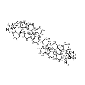 CC1(C)c2ccccc2N(c2ccc3c(c2)[Si](c2ccccc2)(c2ccccc2)c2cc(-c4ccc5c(c4)[Si](c4ccccc4)(c4ccccc4)c4cc(N6c7ccccc7C(C)(C)C(C)(C)c7ccccc76)ccc4-5)ccc2-3)c2ccccc2C1(C)C